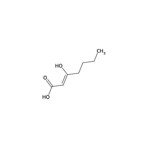 CCCCC(O)=CC(=O)O